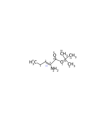 CC/C=C(\N)C(=O)OC(C)(C)C